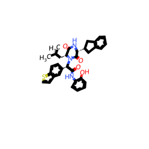 CC(C)C[C@@H]1C(=O)N[C@H](C2Cc3ccccc3C2)C(=O)N1[C@H](C(=O)Nc1ccccc1O)c1ccc2sccc2c1